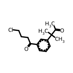 CC(=O)C(C)(C)c1cccc(C(=O)CCCCl)c1